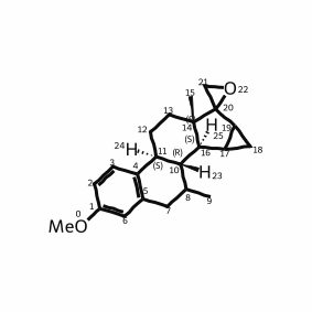 COc1ccc2c(c1)CC(C)[C@@H]1[C@@H]2CC[C@@]2(C)[C@H]1C1CC1C21CO1